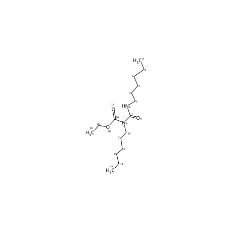 CCCCCCNC(=O)N(CCCCCC)C(=O)OCC